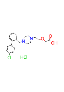 Cl.O=C(O)COCCN1CCN(Cc2ccccc2-c2ccc(Cl)cc2)CC1